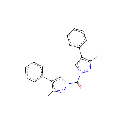 N#Cc1nn(C(=O)n2cc(-c3ccccc3)c(C#N)n2)cc1-c1ccccc1